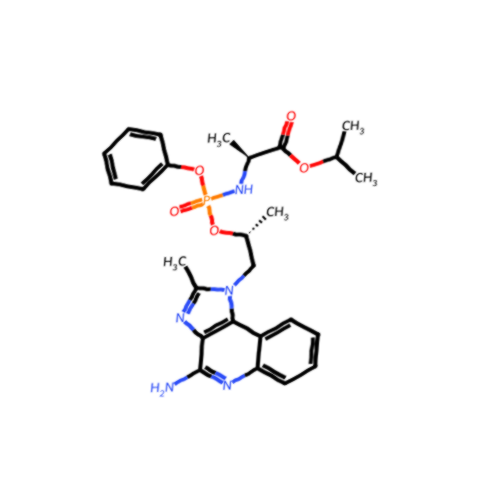 Cc1nc2c(N)nc3ccccc3c2n1C[C@@H](C)OP(=O)(N[C@@H](C)C(=O)OC(C)C)Oc1ccccc1